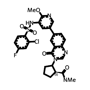 CNC(=O)[C@H]1CCCC1n1cnc2ccc(-c3cnc(OC)c(NS(=O)(=O)c4ccc(F)cc4Cl)c3)cc2c1=O